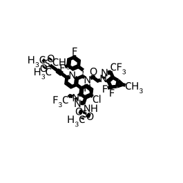 CC1C2c3c(C(F)(F)F)nn(CC(=O)N[C@@H](Cc4cc(F)cc(F)c4)c4nc(C#CC(C)(C)S(C)(=O)=O)ccc4-c4ccc(Cl)c5c(NS(C)(=O)=O)nn(CC(F)(F)F)c45)c3C(F)(F)C12